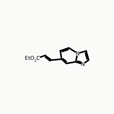 CCOC(=O)/C=C/c1ccn2ccnc2c1